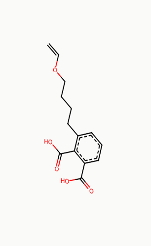 C=COCCCCc1cccc(C(=O)O)c1C(=O)O